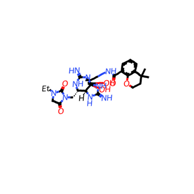 CCN1CC(=O)N(C[C@@H]2NC(=N)N3CC(NC(=O)c4cccc5c4OCCC5(C)C)C(O)(O)C34NC(=N)N[C@@H]24)C1=O